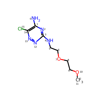 Nc1nc(NCCOCCOC(F)(F)F)nnc1Cl